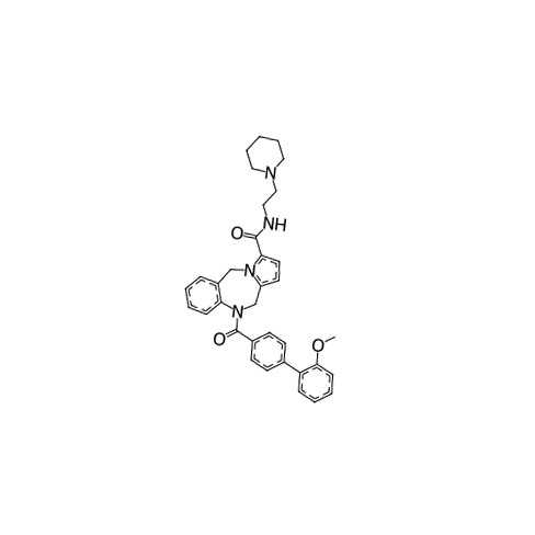 COc1ccccc1-c1ccc(C(=O)N2Cc3ccc(C(=O)NCCN4CCCCC4)n3Cc3ccccc32)cc1